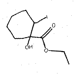 CCOC(=O)C1(O)CCCCC1I